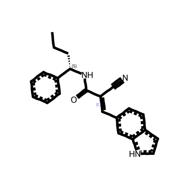 CCC[C@H](NC(=O)/C(C#N)=C/c1ccc2cc[nH]c2c1)c1ccccc1